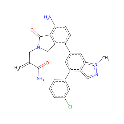 C=C(CN1Cc2c(-c3cc(-c4cccc(Cl)c4)c4cnn(C)c4c3)ccc(N)c2C1=O)C(N)=O